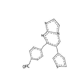 O=Cc1ccc(-c2nc3nccn3cc2-c2ccsc2)cc1